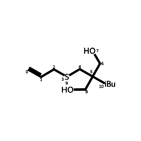 C=CCSCC(CO)(CO)C(C)CC